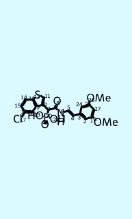 COc1cc(C=CNC(=O)C(c2csc3ccc(Cl)cc23)P(=O)(O)O)cc(OC)c1